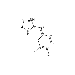 CC1=C(C)C/C(=N\C2NCCN2)C=C1